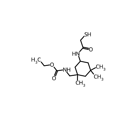 CCOC(=O)NCC1(C)CC(NC(=O)CS)CC(C)(C)C1